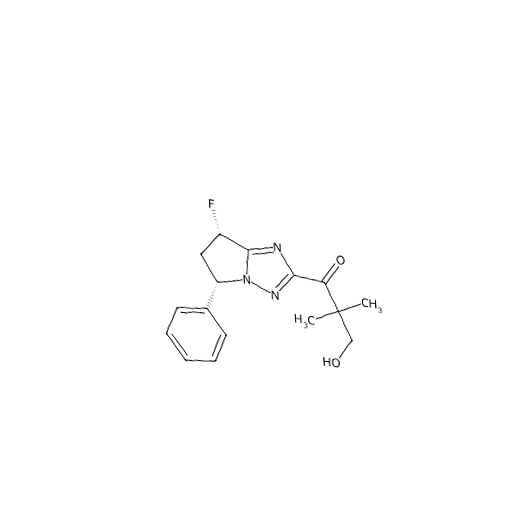 CC(C)(CO)C(=O)c1nc2n(n1)[C@H](c1ccccc1)C[C@@H]2F